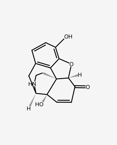 O=C1C=C[C@@]2(O)[C@H]3Cc4ccc(O)c5c4[C@@]2(CCN3)[C@H]1O5